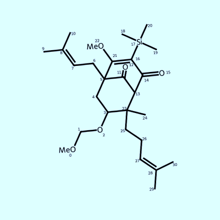 COCOC1CC2(CC=C(C)C)C(=O)C(C(=O)C([Si](C)(C)C)=C2OC)C1(C)CCC=C(C)C